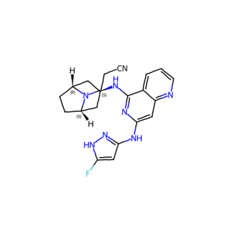 N#CCCN1[C@@H]2CC[C@H]1C[C@H](Nc1nc(Nc3cc(F)[nH]n3)cc3ncccc13)C2